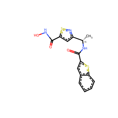 C[C@H](NC(=O)c1cc2ccccc2s1)c1cc(C(=O)NO)sn1